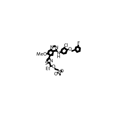 CCC(OCCS(C)(=O)=O)c1nc(-c2cc3c(Nc4ccc(OCc5cccc(F)c5)c(Cl)c4)ncnc3cc2OC)cs1